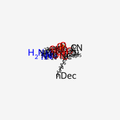 CCCCCCCCCCCCCCCCCCOCC(COP(=O)(O)OC1C2OC(C=NC)(c3ccc4c(N)ncnn34)C(O)C21O)Oc1c(C#N)cc(C)cc1C#N